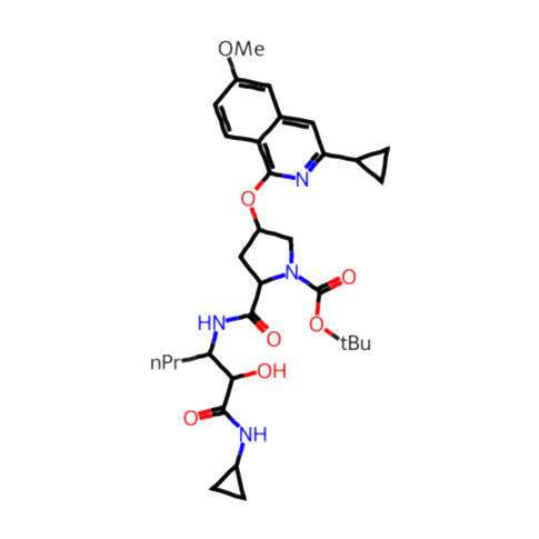 CCCC(NC(=O)C1CC(Oc2nc(C3CC3)cc3cc(OC)ccc23)CN1C(=O)OC(C)(C)C)C(O)C(=O)NC1CC1